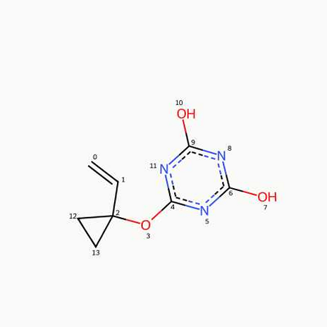 C=CC1(Oc2nc(O)nc(O)n2)CC1